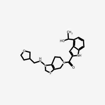 CC(O)c1cccc2[nH]c(C(=O)N3CCC4=C(C3)SCN4NCC3CCOC3)cc12